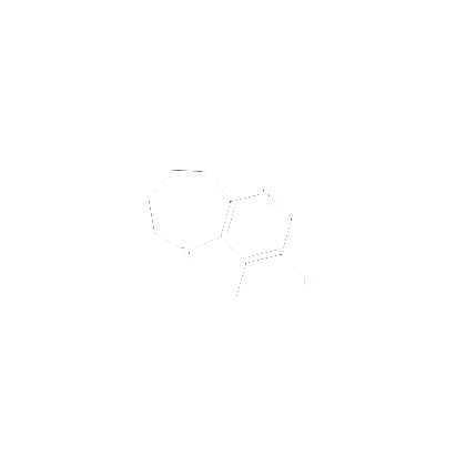 CCc1cnc2c(c1C)NCCCO2